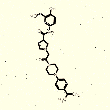 C=C(C)c1ccc(N2CCN(C(=O)CN3CC[C@@H](C(=O)Nc4ccc(O)c(CO)c4)C3)CC2)cc1